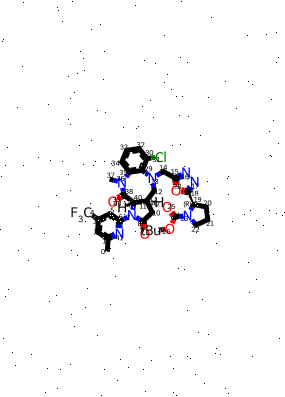 Cc1cc(C(F)(F)F)cc(N2C(=O)C[C@@H]3CN(Cc4nnc([C@H]5CCCN5C(=O)OC(C)(C)C)o4)c4c(Cl)cccc4N(C)C(=O)[C@H]32)n1